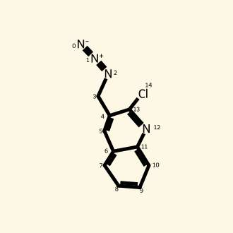 [N-]=[N+]=NCc1cc2ccccc2nc1Cl